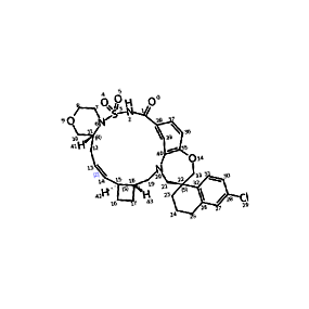 O=C1NS(=O)(=O)N2CCOC[C@H]2C/C=C\[C@@H]2CC[C@H]2CN2C[C@@]3(CCCc4cc(Cl)ccc43)COc3ccc1cc32